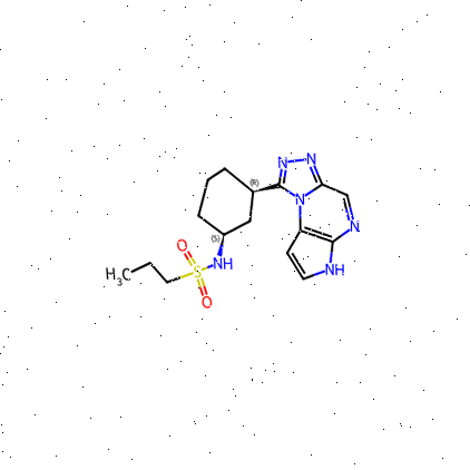 CCCS(=O)(=O)N[C@H]1CCC[C@@H](c2nnc3cnc4[nH]ccc4n23)C1